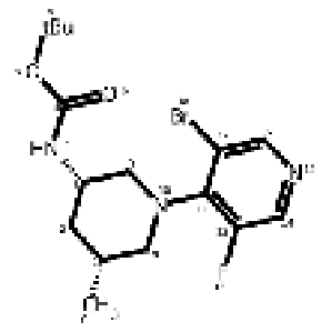 C[C@@H]1C[C@H](NC(=O)OC(C)(C)C)CN(c2c(F)cncc2Br)C1